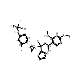 COc1ncc(C2=Nn3ccnc3C(C)([C@H]3C[C@@H]3c3ccc(OC(F)(F)F)cc3F)C2)c(OC)n1